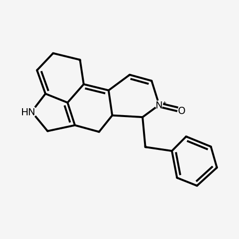 O=[N+]1C=CC2=C3CCC=C4NCC(=C43)CC2C1Cc1ccccc1